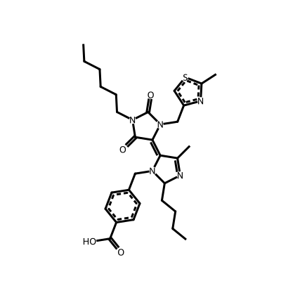 CCCCCCN1C(=O)C(=C2C(C)=NC(CCCC)N2Cc2ccc(C(=O)O)cc2)N(Cc2csc(C)n2)C1=O